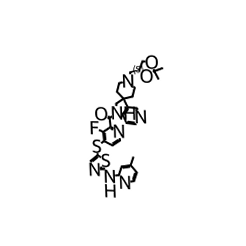 Cc1ccnc(Nc2ncc(Sc3ccnc(C(=O)NCC4(c5cccnc5)CCN(C[C@H]5COC(C)(C)O5)CC4)c3F)s2)c1